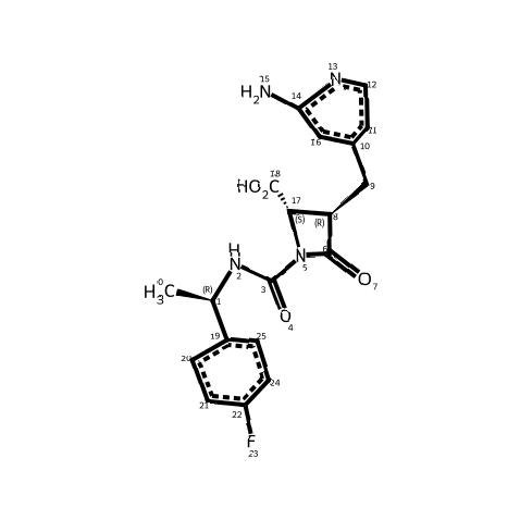 C[C@@H](NC(=O)N1C(=O)[C@H](Cc2ccnc(N)c2)[C@H]1C(=O)O)c1ccc(F)cc1